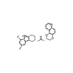 Fc1cc(F)c2[nH]c3c(c2c1)C[C@@H](CNC[C@H]1COc2ccc4ncccc4c2O1)CC3